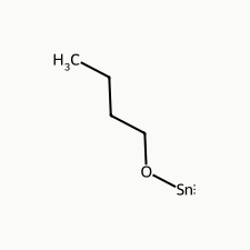 CCCC[O][Sn]